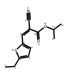 CCc1ccc(/C=C(/C#N)C(=O)OC(C)C)s1